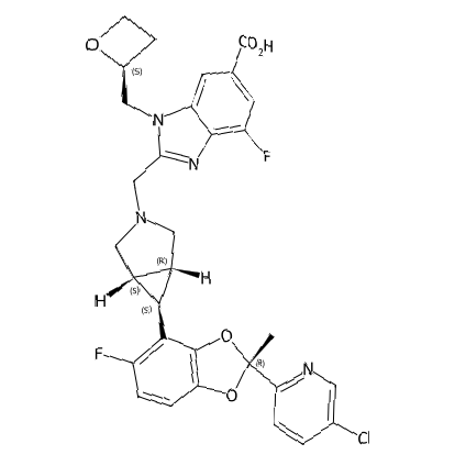 C[C@@]1(c2ccc(Cl)cn2)Oc2ccc(F)c([C@H]3[C@@H]4CN(Cc5nc6c(F)cc(C(=O)O)cc6n5C[C@@H]5CCO5)C[C@@H]43)c2O1